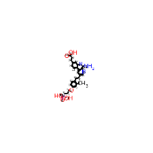 Cc1cc(OCCCP(=O)(O)O)ccc1CCc1cnc2c(N)nc3cc(CCC(=O)O)ccc3c2c1